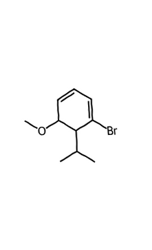 COC1C=CC=C(Br)C1C(C)C